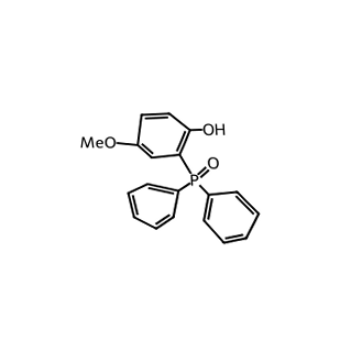 COc1ccc(O)c(P(=O)(c2ccccc2)c2ccccc2)c1